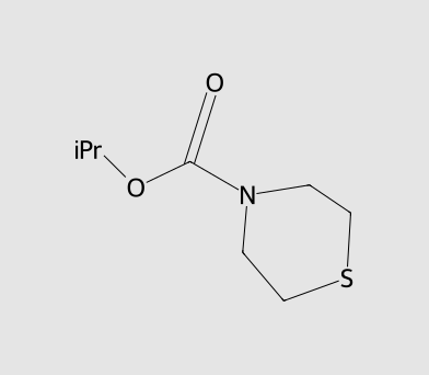 CC(C)OC(=O)N1CCSCC1